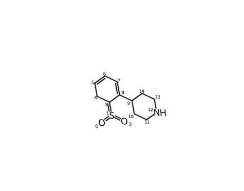 O=S(=O)=C1CC=CC=C1C1CCNCC1